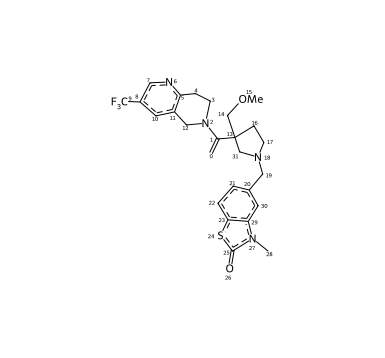 C=C(N1CCc2ncc(C(F)(F)F)cc2C1)C1(COC)CCN(Cc2ccc3sc(=O)n(C)c3c2)C1